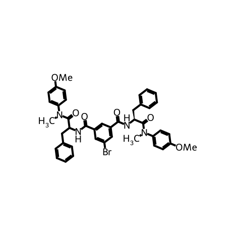 COc1ccc(N(C)C(=O)C(Cc2ccccc2)NC(=O)c2cc(Br)cc(C(=O)N[C@@H](Cc3ccccc3)C(=O)N(C)c3ccc(OC)cc3)c2)cc1